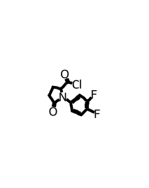 O=C(Cl)C1CCC(=O)N1c1ccc(F)c(F)c1